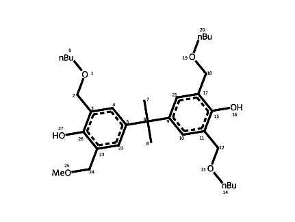 CCCCOCc1cc(C(C)(C)c2cc(COCCCC)c(O)c(COCCCC)c2)cc(COC)c1O